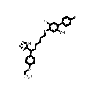 CCc1cc(-c2ccc(F)cc2)c(O)cc1OCCCCCC(c1ccc(OCC(=O)O)cc1)c1nnn[nH]1